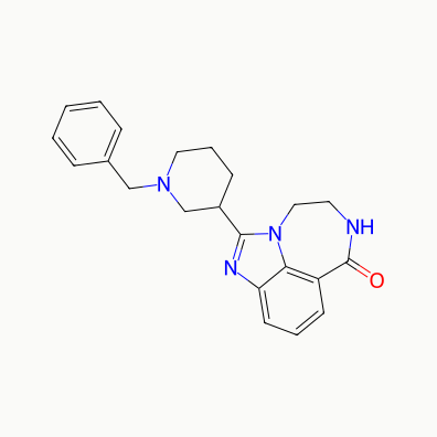 O=C1NCCn2c(C3CCCN(Cc4ccccc4)C3)nc3cccc1c32